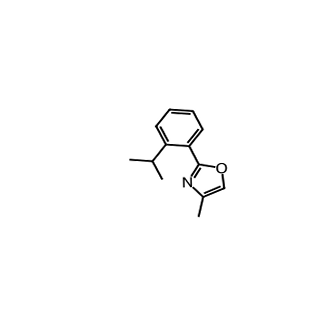 Cc1coc(-c2ccccc2C(C)C)n1